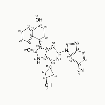 N#Cc1ccc2ncn(-c3nc(N4CC(O)C4)c4[nH]c(=O)n([C@@H]5CC[C@@H](O)c6ccccc65)c4n3)c2c1